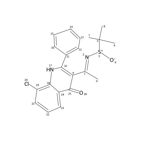 CC(=N[S+]([O-])C(C)(C)C)c1c(-c2ccccc2)[nH]c2c(Cl)cccc2c1=O